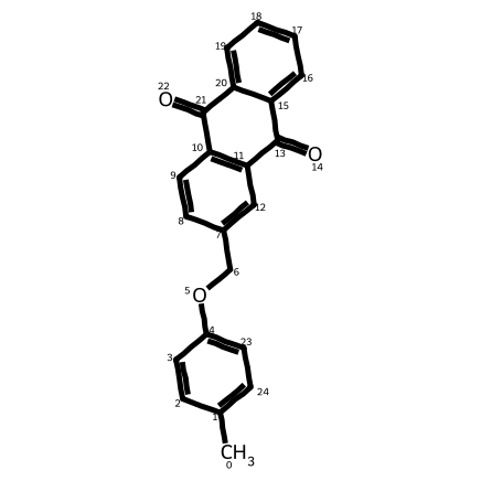 Cc1ccc(OCc2ccc3c(c2)C(=O)c2ccccc2C3=O)cc1